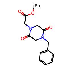 CC(C)(C)OC(=O)CN1CC(=O)N(Cc2ccccc2)CC1=O